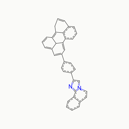 C1=CC2=C3CC=Cc4cccc(c43)C3=CC(c4ccc(-c5cn6ccc7ccccc7c6n5)cc4)=CC(=C1)C32